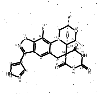 C[C@H]1CN2c3c(cc4c(-c5cn[nH]c5)noc4c3F)CC3(C(=O)NC(=O)NC3=O)[C@@H]2[C@@H](C)O1